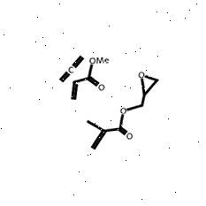 C=C(C)C(=O)OCC1CO1.C=C=C.C=CC(=O)OC